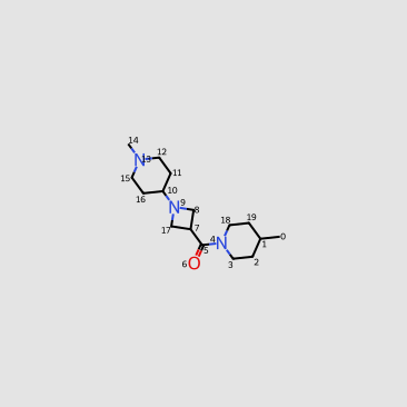 CC1CCN(C(=O)C2CN(C3CCN(C)CC3)C2)CC1